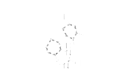 Fc1cc(F)c(Cl)c(-c2cccc3c2NC(Cl)=NS3)c1